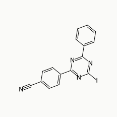 N#Cc1ccc(-c2nc(I)nc(-c3ccccc3)n2)cc1